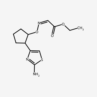 CCOC(=O)/C=N\OC1CCCC1c1csc(N)n1